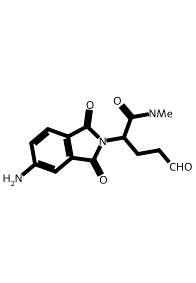 CNC(=O)C(CCC=O)N1C(=O)c2ccc(N)cc2C1=O